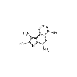 CCCc1nc2c(N)nc3c(C(C)C)cccc3c2n1N